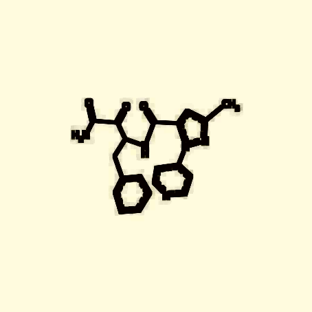 Cc1cc(C(=O)NC(Cc2ccccc2)C(=O)C(N)=O)n(-c2ccncc2)n1